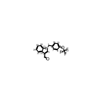 O=Cc1cn(Cc2ccc(OC(F)(F)F)cc2)c2ccccc12